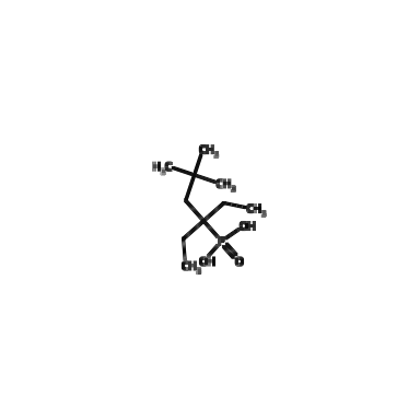 CCC(CC)(CC(C)(C)C)P(=O)(O)O